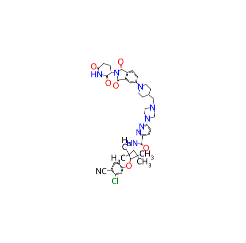 CC1(C)[C@H](NC(=O)c2ccc(N3CCN(CC4CCN(c5ccc6c(c5)C(=O)N(C5CCC(=O)NC5=O)C6=O)CC4)CC3)nn2)C(C)(C)[C@H]1Oc1ccc(C#N)c(Cl)c1